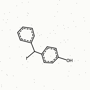 Oc1ccc(C(I)c2ccccc2)cc1